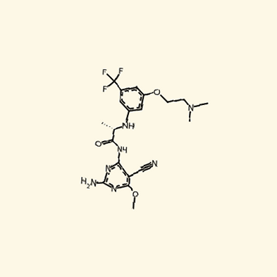 COc1nc(N)nc(NC(=O)[C@H](C)Nc2cc(OCCN(C)C)cc(C(F)(F)F)c2)c1C#N